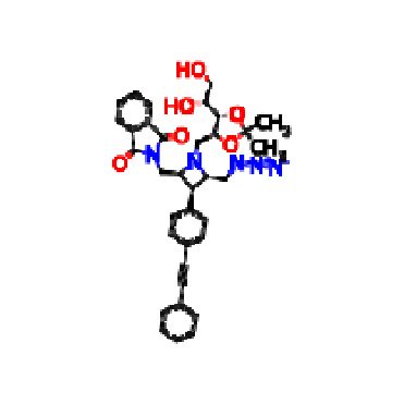 CC1(C)O[C@@H]([C@H](O)CO)[C@H](CN2[C@H](CN3C(=O)c4ccccc4C3=O)[C@H](c3ccc(C#Cc4ccccc4)cc3)[C@@H]2CN=[N+]=[N-])O1